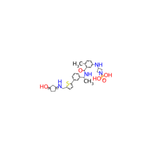 Cc1ccc(NC2CN(P(=O)(O)O)C2)cc1C(=O)NC(C)c1cccc(-c2ccc(CN[C@H]3CC[C@@H](O)C3)s2)c1